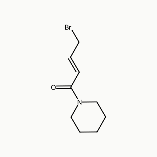 O=C(C=CCBr)N1CCCCC1